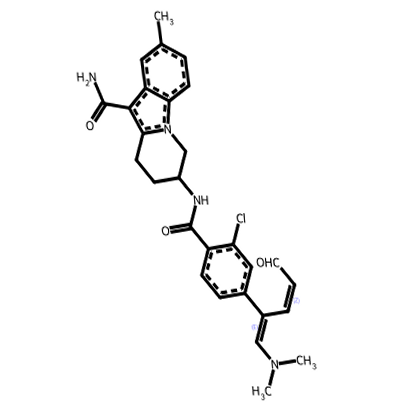 Cc1ccc2c(c1)c(C(N)=O)c1n2CC(NC(=O)c2ccc(C(/C=C\C=O)=C/N(C)C)cc2Cl)CC1